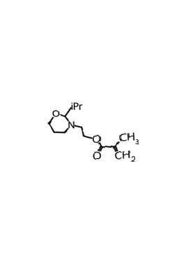 C=C(C)C(=O)OCCN1CCCOC1C(C)C